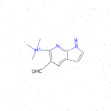 C[N+](C)(C)c1nc2[nH]ccc2cc1C=O